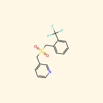 O=S(=O)(Cc1cccnc1)Cc1ccccc1C(F)(F)F